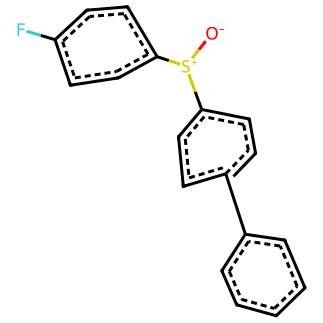 [O-][S+](c1ccc(F)cc1)c1ccc(-c2ccccc2)cc1